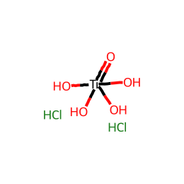 Cl.Cl.[O]=[Ti]([OH])([OH])([OH])[OH]